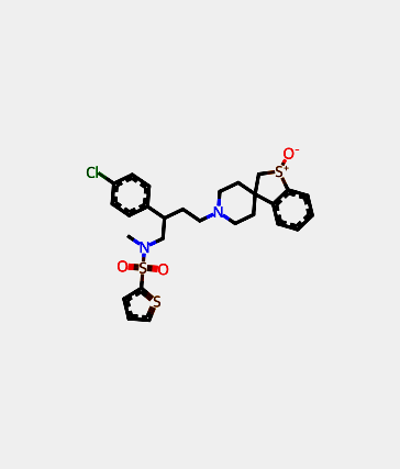 CN(CC(CCN1CCC2(CC1)C[S+]([O-])c1ccccc12)c1ccc(Cl)cc1)S(=O)(=O)c1cccs1